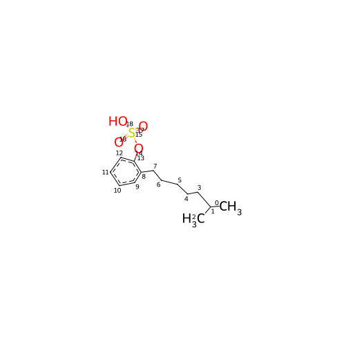 CC(C)CCCCCc1ccccc1OS(=O)(=O)O